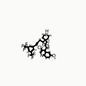 COc1ccc2ncc(Cl)c([C@H](F)CCC3([C@@H](O)CC#Cc4cc(C(F)(F)F)cc(C(F)(F)F)c4)CCNCC3)c2c1